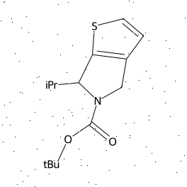 CC(C)C1c2sccc2CN1C(=O)OC(C)(C)C